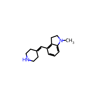 CN1CCc2c(C=C3CCNCC3)cccc21